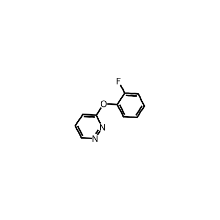 Fc1ccccc1Oc1cccnn1